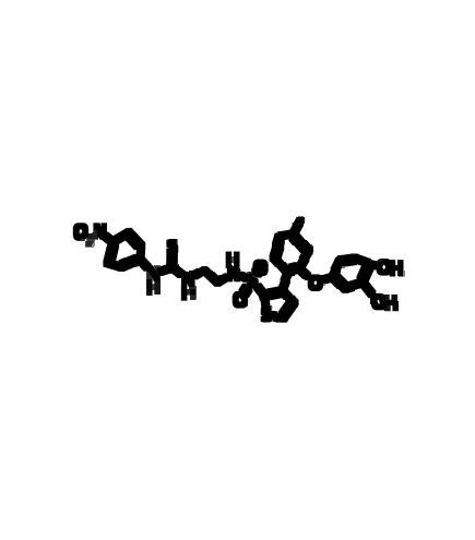 Cc1ccc(-c2ccsc2S(=O)(=O)NCCNC(=S)Nc2ccc([N+](=O)[O-])cc2)c(Oc2ccc(O)c(O)c2)c1